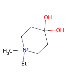 CC[N+]1(C)CCC(O)(O)CC1